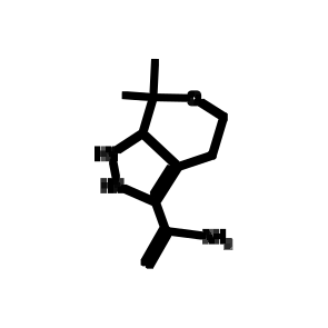 C=C(N)C1=C2CCOC(C)(C)C2NN1